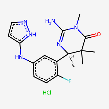 CN1C(=O)C(C)(C)[C@@](C)(c2cc(Nc3ccn[nH]3)ccc2F)N=C1N.Cl